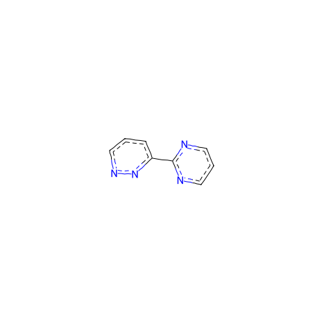 c1cnc(-c2cccnn2)nc1